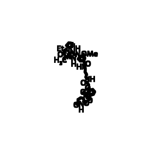 CCC1C(=O)N(C)C2=CNC(Nc3ccc(C(=O)NCCCCNC(=O)COc4cccc5c4C(=O)N(C4CCC(=O)NC4=O)C5=O)cc3OC)NC2N1C1CCCC1